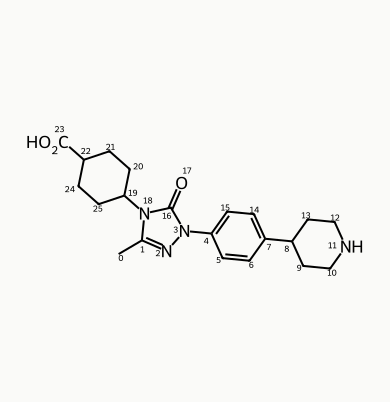 Cc1nn(-c2ccc(C3CCNCC3)cc2)c(=O)n1C1CCC(C(=O)O)CC1